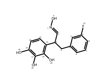 ON=CC(Cc1cccc(F)c1)c1ccc(O)c(O)c1O